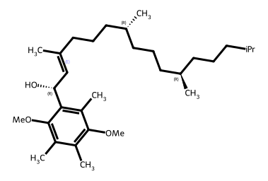 COc1c(C)c(C)c(OC)c([C@H](O)/C=C(\C)CCC[C@H](C)CCC[C@H](C)CCCC(C)C)c1C